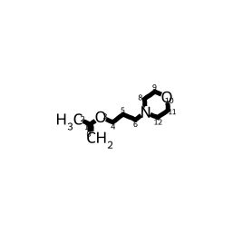 C=C(C)OCCCN1CCOCC1